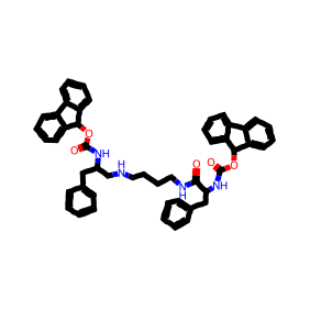 O=C(NC(CNCCCCNC(=O)C(Cc1ccccc1)NC(=O)OC1c2ccccc2-c2ccccc21)Cc1ccccc1)OC1c2ccccc2-c2ccccc21